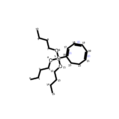 CCCCO[Si](OCCCC)(OCCCC)/C1=C/C=C\C=C/CC1